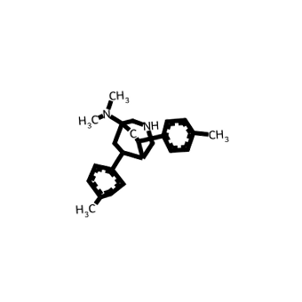 Cc1ccc(C2CC3(N(C)C)CNCC2C(c2ccc(C)cc2)C3)cc1